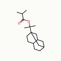 CC(C)C(=O)OC(C)(C)C12CCC3CCC(CC3C1)C2